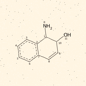 N[C]1c2ccccc2C=CC1O